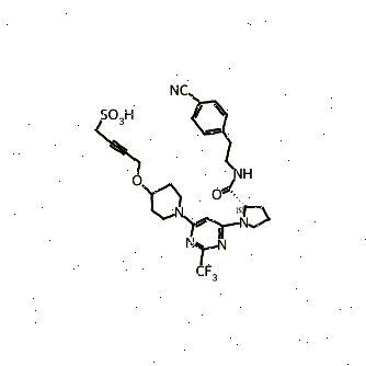 N#Cc1ccc(CCNC(=O)[C@@H]2CCCN2c2cc(N3CCC(OCC#CCS(=O)(=O)O)CC3)nc(C(F)(F)F)n2)cc1